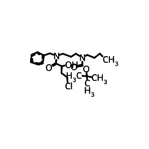 CCCCN(CCCN(Cc1ccccc1)C(=O)C(O)CCCl)C(=O)OC(C)(C)C